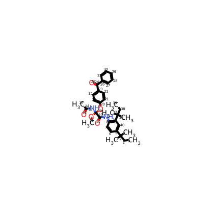 CCC(C)(C)c1ccc(NC(=O)C(NC(C)=O)(OC)Oc2ccc(C(=O)c3ccccc3)cc2)c(C(C)(C)CC)c1